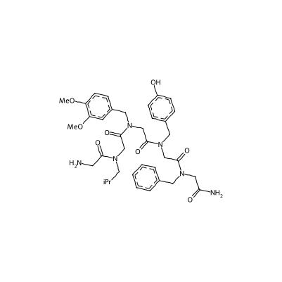 COc1ccc(CN(CC(=O)N(CC(=O)N(CC(N)=O)Cc2ccccc2)Cc2ccc(O)cc2)C(=O)CN(CC(C)C)C(=O)CN)cc1OC